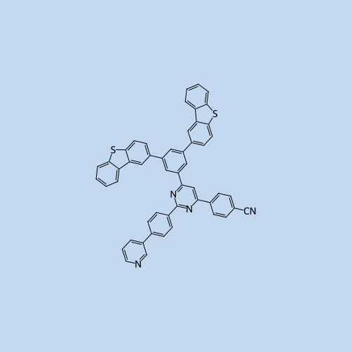 N#Cc1ccc(-c2cc(-c3cc(-c4ccc5sc6ccccc6c5c4)cc(-c4ccc5sc6ccccc6c5c4)c3)nc(-c3ccc(-c4cccnc4)cc3)n2)cc1